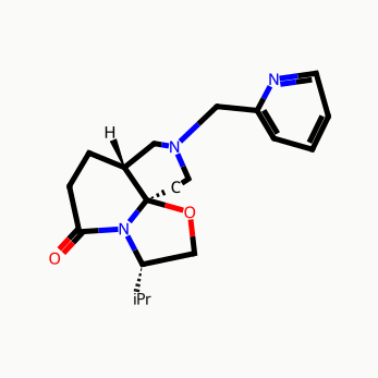 CC(C)[C@H]1CO[C@]23CCN(Cc4ccccn4)C[C@H]2CCC(=O)N13